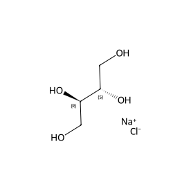 OC[C@@H](O)[C@@H](O)CO.[Cl-].[Na+]